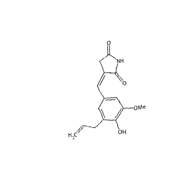 C=CCc1cc(C=C2CC(=O)NC2=O)cc(OC)c1O